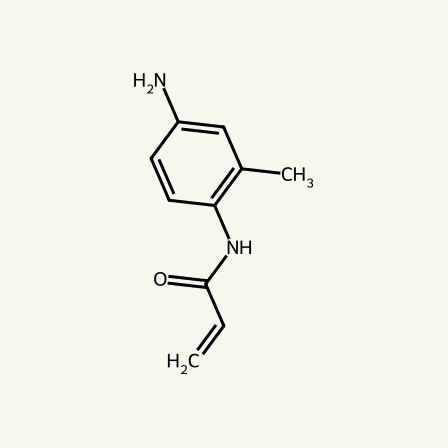 C=CC(=O)Nc1ccc(N)cc1C